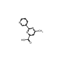 Cc1cc(C(=O)O)nc(-c2cccnc2)n1